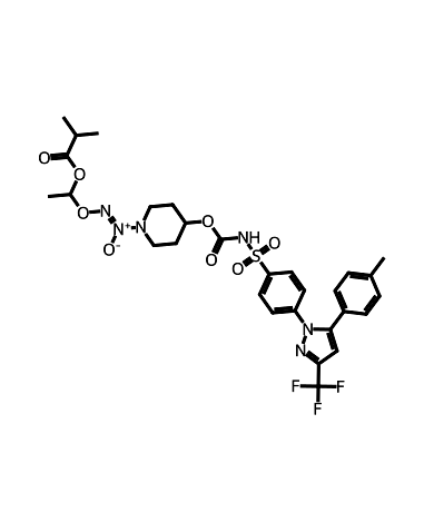 Cc1ccc(-c2cc(C(F)(F)F)nn2-c2ccc(S(=O)(=O)NC(=O)OC3CCN([N+]([O-])=NOC(C)OC(=O)C(C)C)CC3)cc2)cc1